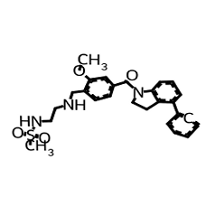 COc1cc(C(=O)N2CCc3c(-c4ccccc4)cccc32)ccc1CNCCNS(C)(=O)=O